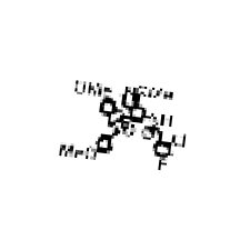 COc1ccc(CN(Cc2ccc(OC)cc2)S(=O)(=O)c2cc(NC(=O)Cc3ccc(F)cc3Cl)cc3c(OC)nccc23)cc1